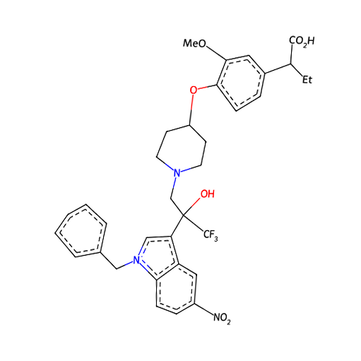 CCC(C(=O)O)c1ccc(OC2CCN(CC(O)(c3cn(Cc4ccccc4)c4ccc([N+](=O)[O-])cc34)C(F)(F)F)CC2)c(OC)c1